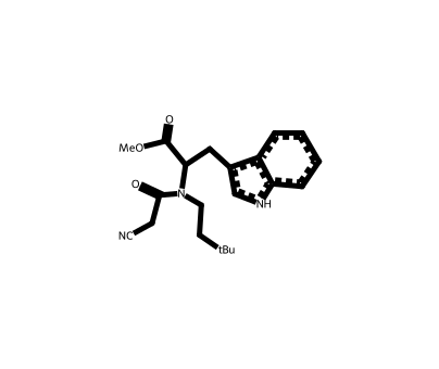 COC(=O)C(Cc1c[nH]c2ccccc12)N(CCC(C)(C)C)C(=O)CC#N